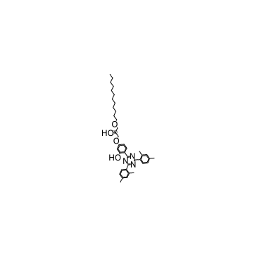 CCCCCCCCCCCCOC[C@H](O)COc1ccc(-c2nc(-c3ccc(C)cc3C)nc(-c3ccc(C)cc3C)n2)c(O)c1